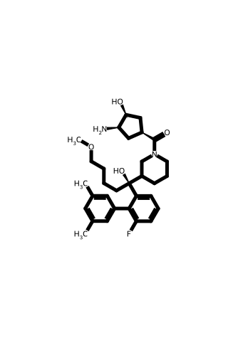 COCCCC[C@@](O)(c1cccc(F)c1-c1cc(C)cc(C)c1)C1CCCN(C(=O)[C@H]2C[C@@H](N)[C@@H](O)C2)C1